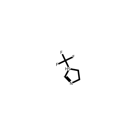 FC(F)(F)[SH]1[C]=NCC1